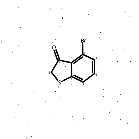 O=C1CSc2cccc(Br)c21